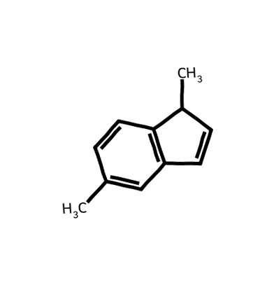 Cc1ccc2c(c1)C=CC2C